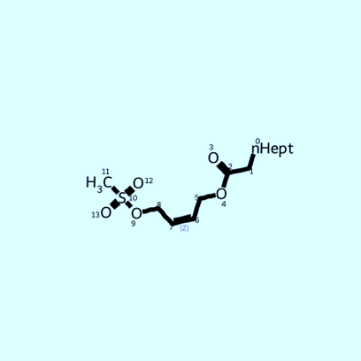 CCCCCCCCC(=O)OC/C=C\COS(C)(=O)=O